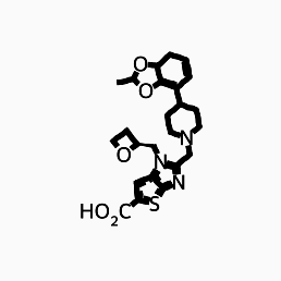 CC1OC2=C(C3CCN(Cc4nc5sc(C(=O)O)cc5n4C[C@@H]4CCO4)CC3)C=CCC2O1